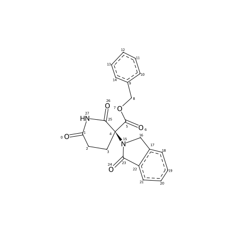 O=C1CC[C@](C(=O)OCc2ccccc2)(N2Cc3ccccc3C2=O)C(=O)N1